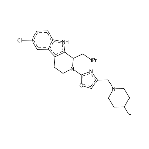 CC(C)CC1c2[nH]c3ccc(Cl)cc3c2CCN1c1nc(CN2CCC(F)CC2)co1